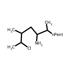 CCCCCC(C)C(N)CC(C)C(C)Cl